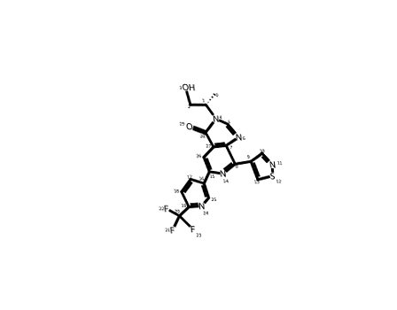 C[C@@H](CO)n1cnc2c(-c3cnsc3)nc(-c3ccc(C(F)(F)F)nc3)cc2c1=O